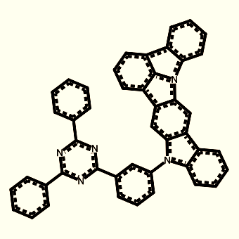 c1ccc(-c2nc(-c3ccccc3)nc(-c3cccc(-n4c5ccccc5c5cc6c(cc54)c4cccc5c7ccccc7n6c54)c3)n2)cc1